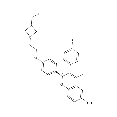 CC1=C(c2ccc(F)cc2)[C@H](c2ccc(OCCN3CC(CCl)C3)cc2)Oc2ccc(O)cc21